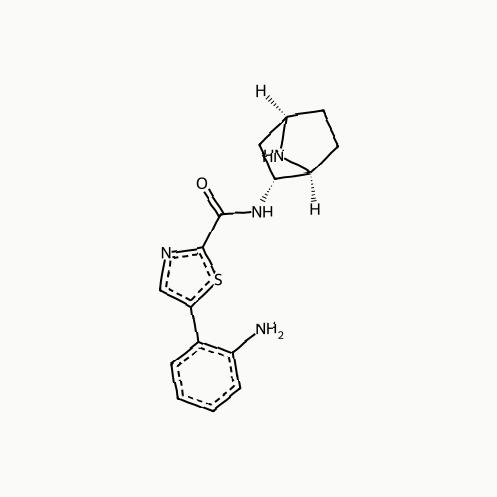 Nc1ccccc1-c1cnc(C(=O)N[C@@H]2C[C@H]3CC[C@@H]2N3)s1